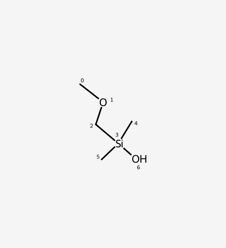 COC[Si](C)(C)O